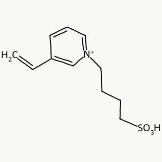 C=Cc1ccc[n+](CCCCS(=O)(=O)O)c1